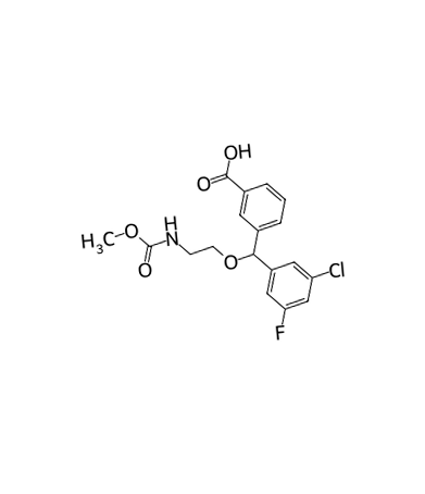 COC(=O)NCCOC(c1cc(F)cc(Cl)c1)c1cccc(C(=O)O)c1